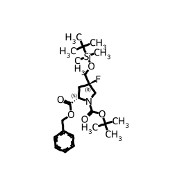 CC(C)(C)OC(=O)N1C[C@@](F)(CO[Si](C)(C)C(C)(C)C)C[C@H]1C(=O)OCc1ccccc1